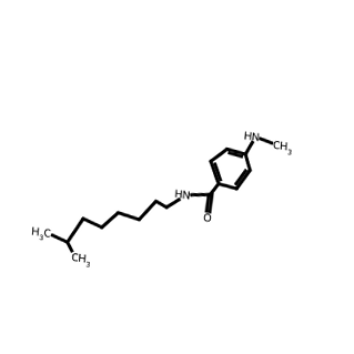 CNc1ccc(C(=O)NCCCCCCC(C)C)cc1